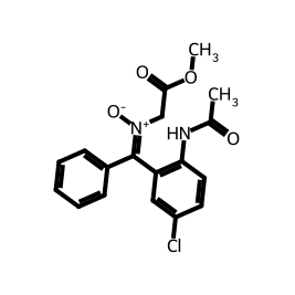 COC(=O)C[N+]([O-])=C(c1ccccc1)c1cc(Cl)ccc1NC(C)=O